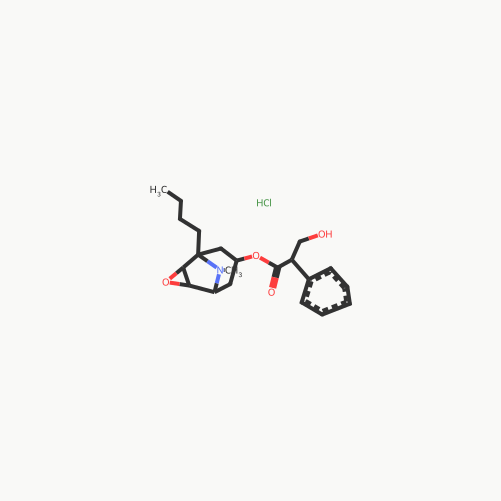 CCCCC12CC(OC(=O)C(CO)c3ccccc3)CC(C3OC31)N2C.Cl